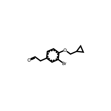 O=CCc1ccc(OCC2CC2)c(Br)c1